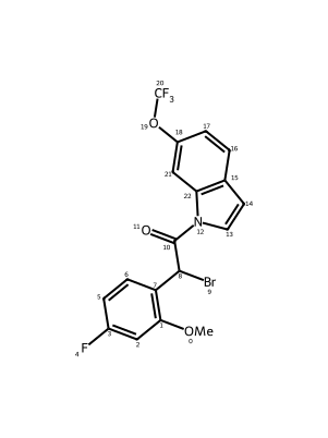 COc1cc(F)ccc1C(Br)C(=O)n1ccc2ccc(OC(F)(F)F)cc21